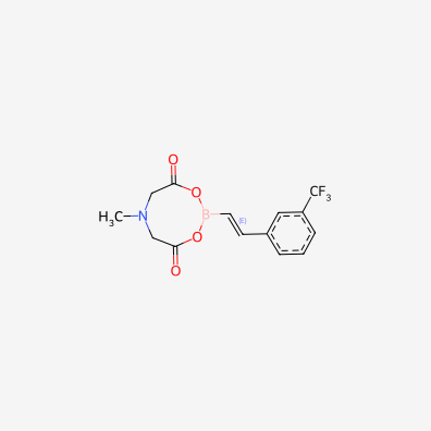 CN1CC(=O)OB(/C=C/c2cccc(C(F)(F)F)c2)OC(=O)C1